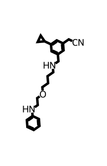 N#CCc1cc(CNCCCCOCCNc2ccccc2)cc(C2CC2)c1